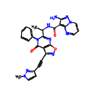 CC(NC(=O)c1c(N)nn2cccnc12)c1nc2onc(C#Cc3ccn(C)n3)c2c(=O)n1-c1ccccc1